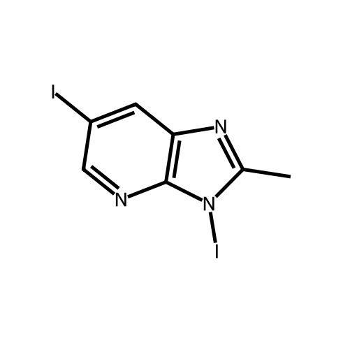 Cc1nc2cc(I)cnc2n1I